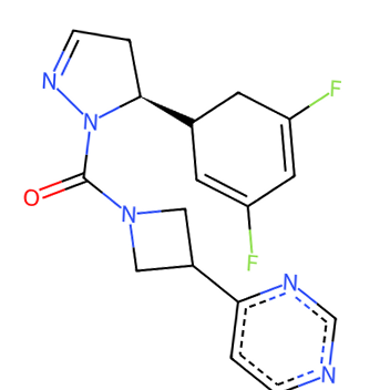 O=C(N1CC(c2ccncn2)C1)N1N=CC[C@H]1C1C=C(F)C=C(F)C1